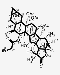 CC(=O)O[C@H]1[C@H]2[C@H]([C@@H]3[C@@H](O)[C@@H]4[C@H]([C@H](C)[C@H]5O[C@]56OC(=O)[C@@](C)(O)[C@]46C)[C@@]3(C)[C@H]1OC(C)=O)[C@@H](OC(=O)CC(C)C)C(=O)[C@H]1C[C@@]3(O)C[C@@H]3[C@H](OC(C)=O)[C@]21C